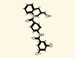 O=C(Nc1ccc(C(=O)N2CC(CO)Cc3ccccc32)cc1)c1cc(Cl)cc(Cl)c1